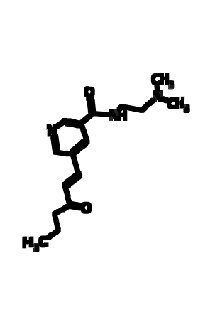 CCCC(=O)/C=C/c1cncc(C(=O)NCCN(C)C)c1